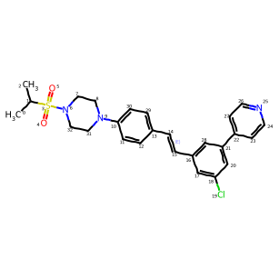 CC(C)S(=O)(=O)N1CCN(c2ccc(/C=C/c3cc(Cl)cc(-c4ccncc4)c3)cc2)CC1